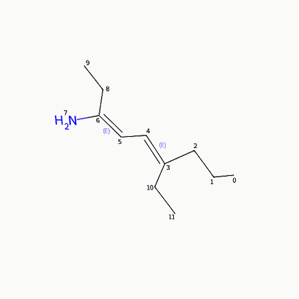 CCC/C(=C/C=C(/N)CC)CC